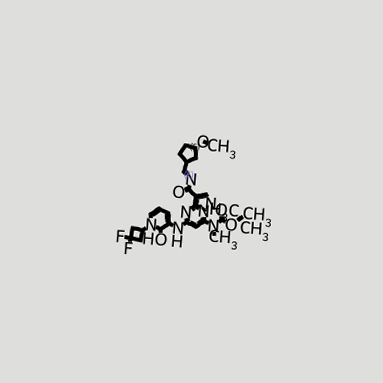 CO[C@H]1CCC(/C=N/C(=O)c2cnn3c(N(C)C(=O)OC(C)(C)C)cc(NC4=CC=CN(C5CC(F)(F)C5)C4O)nc23)C1